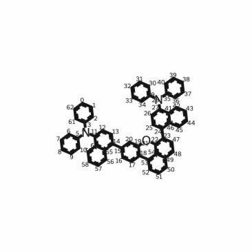 c1ccc(N(c2ccccc2)c2ccc(-c3ccc4c(c3)Oc3c(-c5ccc(N(c6ccccc6)c6ccccc6)c6ccccc56)ccc5cccc-4c35)c3ccccc23)cc1